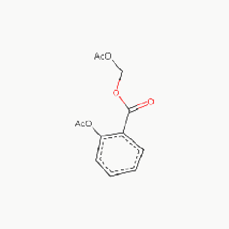 CC(=O)OCOC(=O)c1ccccc1OC(C)=O